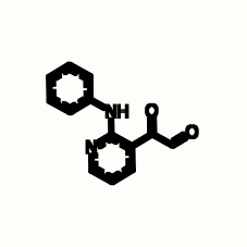 O=CC(=O)c1cccnc1Nc1ccccc1